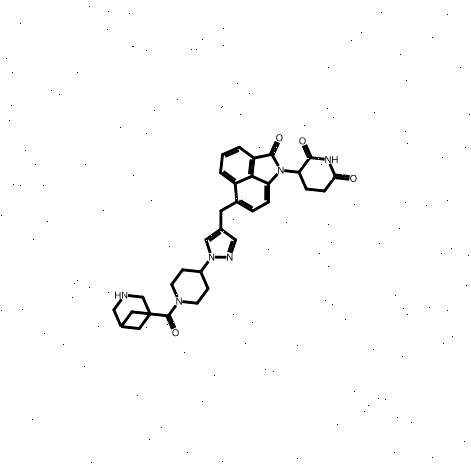 O=C1CCC(N2C(=O)c3cccc4c(Cc5cnn(C6CCN(C(=O)C78CNCC(C7)C8)CC6)c5)ccc2c34)C(=O)N1